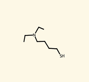 CCN(CC)CCCCS